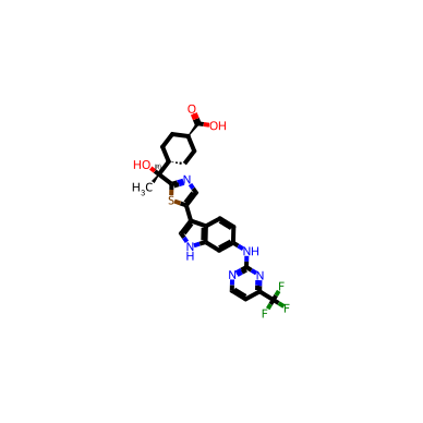 C[C@](O)(c1ncc(-c2c[nH]c3cc(Nc4nccc(C(F)(F)F)n4)ccc23)s1)[C@H]1CC[C@H](C(=O)O)CC1